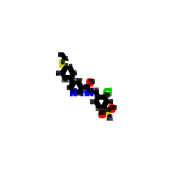 CCSc1ccc(-c2cncc(C(=O)NCc3ccc(S(C)(=O)=O)cc3Cl)c2)cc1